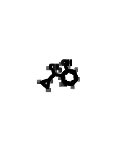 CC(c1ncccc1O)C1CC1